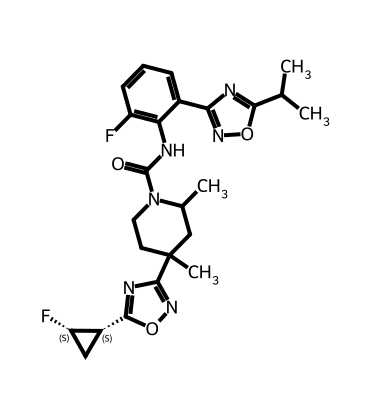 CC(C)c1nc(-c2cccc(F)c2NC(=O)N2CCC(C)(c3noc([C@@H]4C[C@@H]4F)n3)CC2C)no1